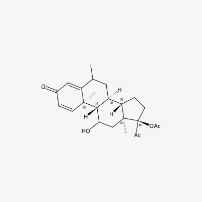 CC(=O)O[C@]1(C(C)=O)CC[C@H]2[C@@H]3CC(C)C4=CC(=O)C=C[C@]4(C)[C@H]3C(O)C[C@@]21C